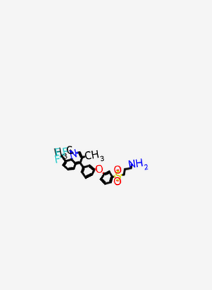 CC1=CN(C)C2C(C(F)(F)F)=CC=CC2=C1c1cccc(Oc2cccc(S(=O)(=O)CCCN)c2)c1